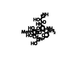 CN[C@@H]1[C@@H](O)[C@@H](O[C@@H]2[C@@H](O)[C@H](C3OC(CNCCO)=CC[C@H]3N)[C@@H](N)C[C@H]2NC(=O)C(O)C2CNC2)OC[C@]1(C)O